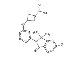 CCC(=O)N1CC(Nc2cncc(N3C(=O)c4ccc(Cl)cc4C3(C)C)c2)C1